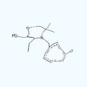 CC1C(O)OCC(C)(C)N1c1cccc(Cl)c1